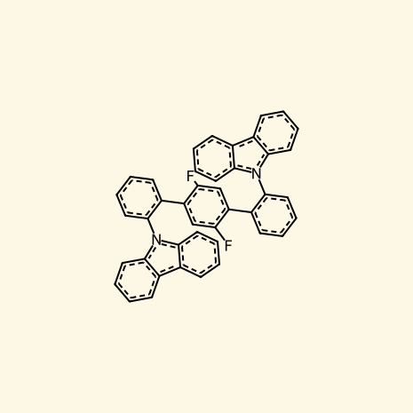 Fc1cc(-c2ccccc2-n2c3ccccc3c3ccccc32)c(F)cc1-c1ccccc1-n1c2ccccc2c2ccccc21